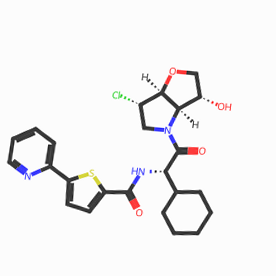 O=C(N[C@H](C(=O)N1C[C@H](Cl)[C@H]2OC[C@H](O)[C@H]21)C1CCCCC1)c1ccc(-c2ccccn2)s1